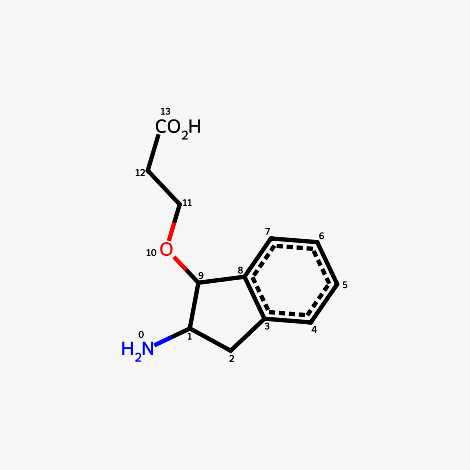 NC1Cc2ccccc2C1OCCC(=O)O